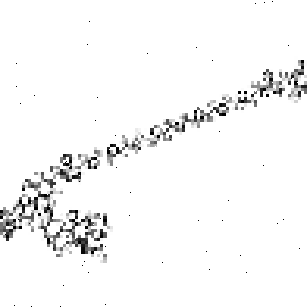 Cc1c(-c2ccc(C[C@H](NC(=O)c3c(F)cc(CNC(=O)CCOCCOCCOCCOCCOCCOCCOCCOCCNC(=O)CCN4C(=O)C=CC4=O)cc3F)C(=O)OC(=O)C(F)(F)F)cc2)c(=O)n(C)c(=O)n1C